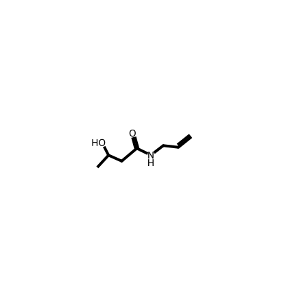 C=CCNC(=O)CC(C)O